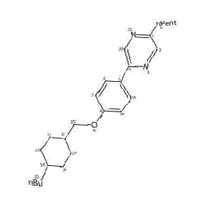 CCCCCc1cnc(-c2ccc(OCC3CCC(CCCC)CC3)cc2)cn1